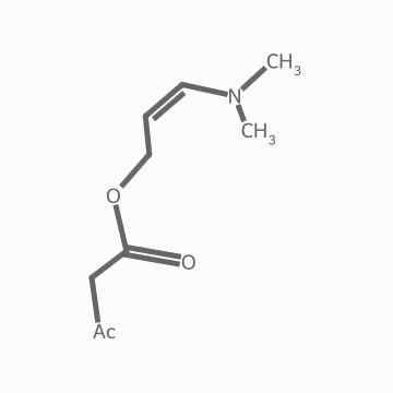 CC(=O)CC(=O)OC/C=C\N(C)C